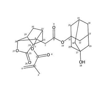 C=C(C)C(=O)OC1(CC(=O)OC23CC4CC(CC(O)(C4)C2)C3)C2CC3C(=O)OC1C3C2